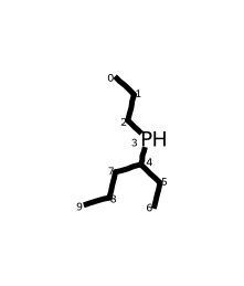 CCCPC(CC)CCC